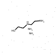 N.N.NCCNCCO